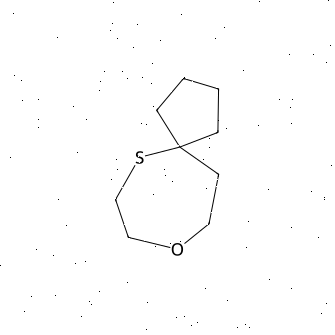 C1CCC2(C1)CCOCCS2